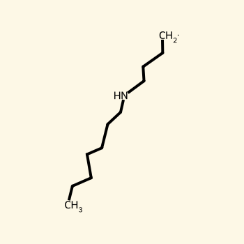 [CH2]CCCNCCCCCCC